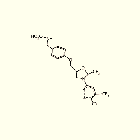 N#Cc1ccc(N2CC(COc3ccc(CNC(=O)O)cc3)OC2C(F)(F)F)cc1C(F)(F)F